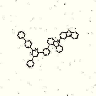 c1ccc(-c2ccc(-c3nc(-c4ccccc4)cc(-c4cccc(-c5cccc6c5c5ccccc5n6-c5ccc6sc7ccccc7c6c5)c4)n3)cc2)cc1